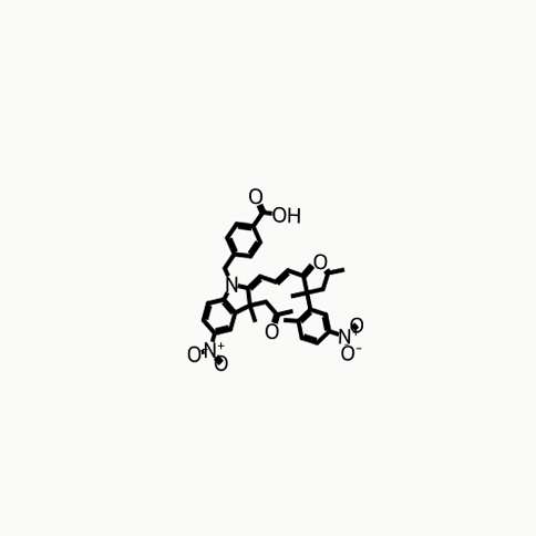 C=C(/C=C/C=C1/N(Cc2ccc(C(=O)O)cc2)c2ccc([N+](=O)[O-])cc2C1(C)CC(C)=O)C(C)(CC(C)=O)c1cc([N+](=O)[O-])ccc1C